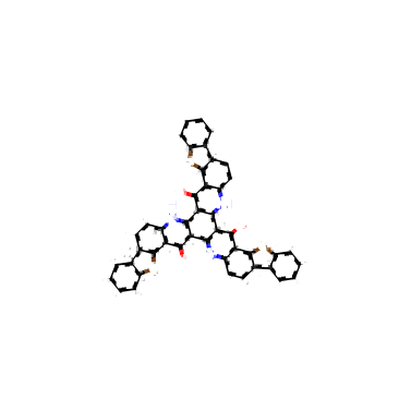 O=c1c2c([nH]c3ccc4c5ccccc5sc4c13)c1c(=O)c3c(ccc4c5ccccc5sc43)[nH]c1c1c(=O)c3c(ccc4c5ccccc5sc43)[nH]c21